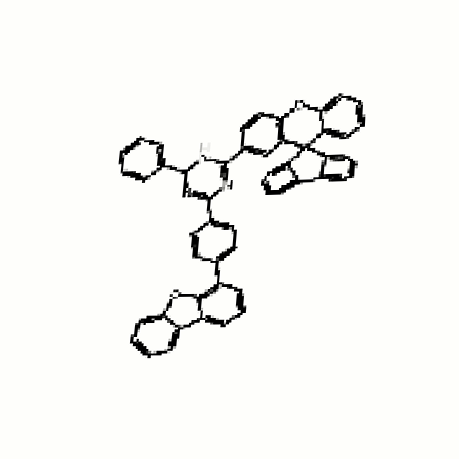 c1ccc(C2N=C(c3ccc(-c4cccc5c4oc4ccccc45)cc3)N=C(c3ccc4c(c3)C3(c5ccccc5O4)c4ccccc4-c4ccccc43)N2)cc1